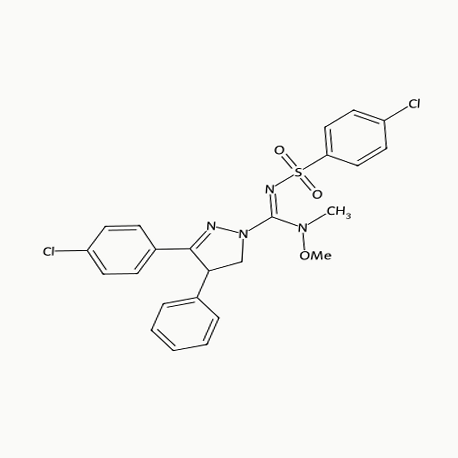 CON(C)/C(=N\S(=O)(=O)c1ccc(Cl)cc1)N1CC(c2ccccc2)C(c2ccc(Cl)cc2)=N1